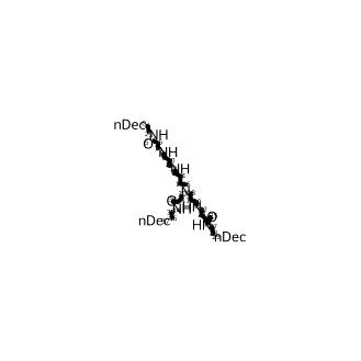 CCCCCCCCCCCCNC(=O)CCNCCCNCCCCN(CCCNCCC(=O)NCCCCCCCCCCCC)CCC(=O)NCCCCCCCCCCCC